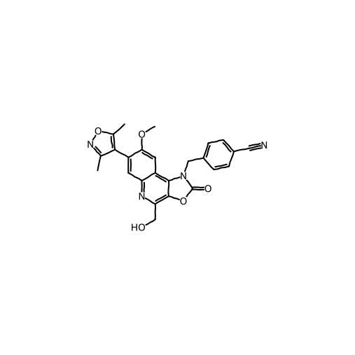 COc1cc2c(cc1-c1c(C)noc1C)nc(CO)c1oc(=O)n(Cc3ccc(C#N)cc3)c12